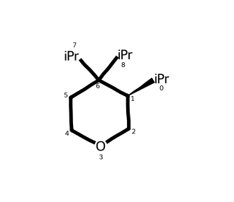 CC(C)[C@H]1COCCC1(C(C)C)C(C)C